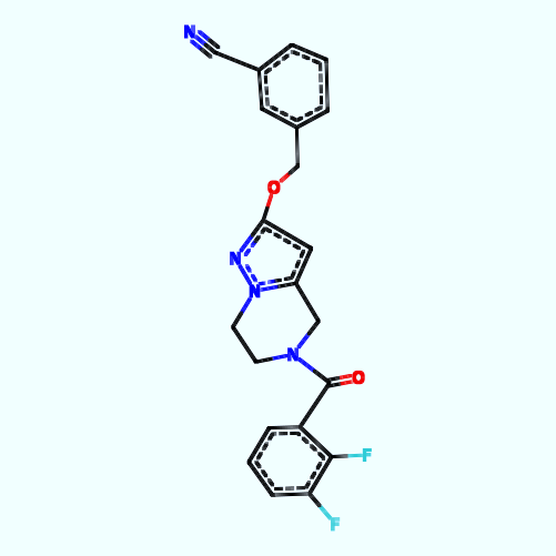 N#Cc1cccc(COc2cc3n(n2)CCN(C(=O)c2cccc(F)c2F)C3)c1